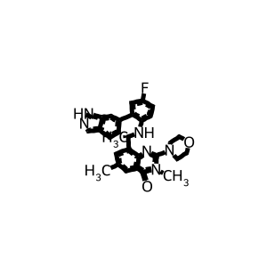 Cc1cc([C@@H](C)Nc2ccc(F)cc2-c2ccc3cn[nH]c3c2)c2nc(N3CCOCC3)n(C)c(=O)c2c1